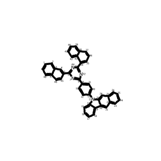 c1ccc2cc(-c3nc(-c4ccc(-n5c6ccccc6c6cc7ccccc7cc65)cc4)nc(-c4cccc5ccccc45)n3)ccc2c1